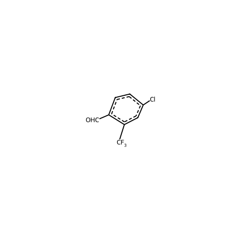 O=Cc1ccc(Cl)cc1C(F)(F)F